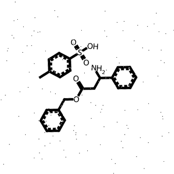 Cc1ccc(S(=O)(=O)O)cc1.NC(CC(=O)OCc1ccccc1)c1ccccc1